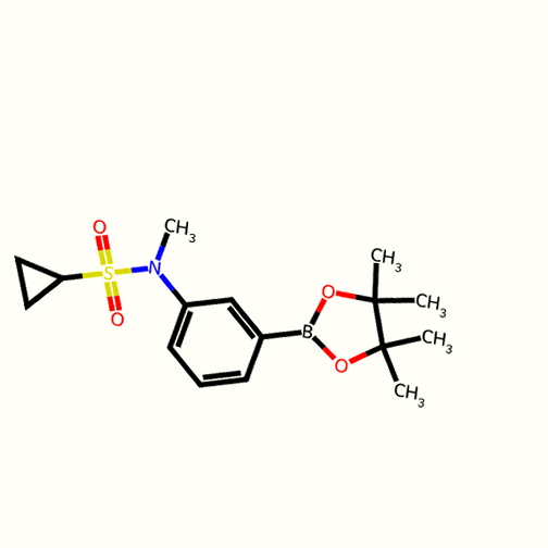 CN(c1cccc(B2OC(C)(C)C(C)(C)O2)c1)S(=O)(=O)C1CC1